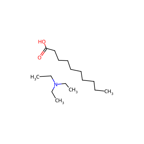 CCCCCCCCCC(=O)O.CCN(CC)CC